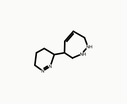 [CH]1NNCC=CC1C1CCCN=N1